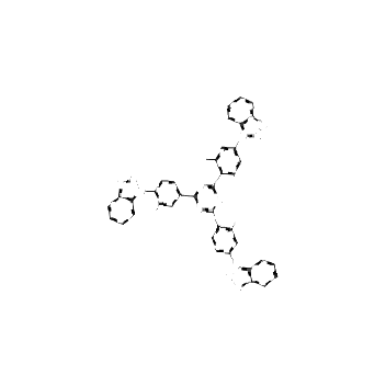 CCc1cc(-n2nnc3ccccc32)ccc1-c1nc(-c2ccc(-n3nnc4ccccc43)c(CC)c2)nc(-c2ccc(-n3nnc4ccccc43)cc2CC)n1